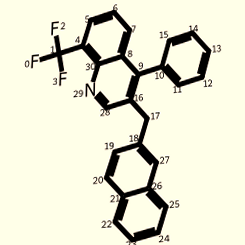 FC(F)(F)c1cccc2c(-c3ccccc3)c(Cc3ccc4ccccc4c3)cnc12